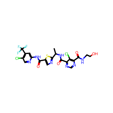 CC(NC(=O)c1ncnc(C(=O)NCCO)c1Cl)c1ncc(C(=O)Nc2cc(C(F)(F)F)c(Cl)cn2)s1